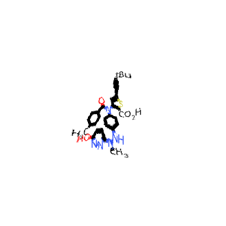 CC1CCC(C(=O)N(c2cc(C#CC(C)(C)C)sc2C(=O)O)C2CCC(NN(C)c3ccc(O)nn3)CC2)CC1